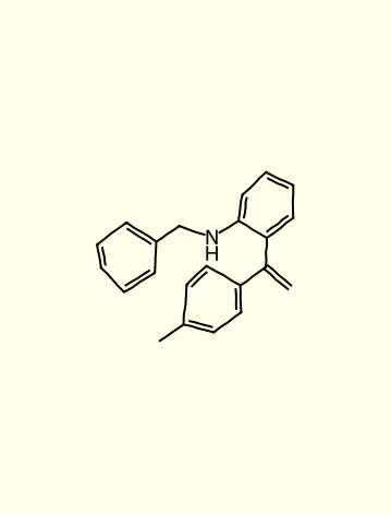 C=C(c1ccc(C)cc1)c1ccccc1NCc1ccccc1